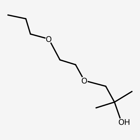 CCCOCCOCC(C)(C)O